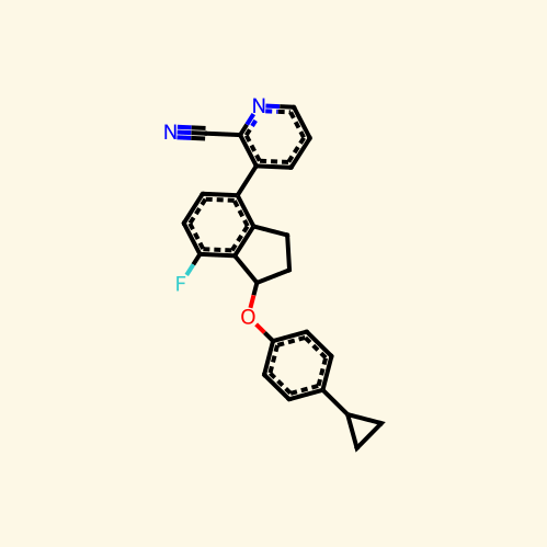 N#Cc1ncccc1-c1ccc(F)c2c1CCC2Oc1ccc(C2CC2)cc1